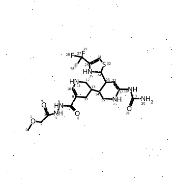 COCC(=O)NNC(=O)C1=CNCC(C2CNC(NC(N)=O)=CC2C2NC(C(F)(F)F)=CS2)C1